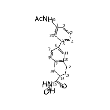 CC(=O)Nc1cccc(-c2ccc3c(c2)CCC(C(=O)NO)C3)c1